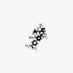 COc1cc(C2(N)N=C(NC3(C)CC3)c3c(C)csc3N2)ccc1N1CCC(N(C)C)CC1